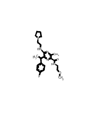 COCCNC(=O)c1nc(C(C)c2ccc(F)cc2)c(NCCN2CCCC2)nc1C